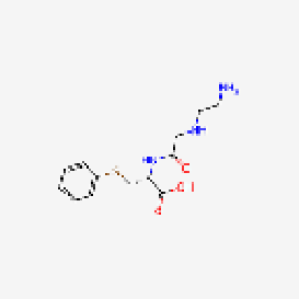 NCCNCC(=O)N[C@@H](CSc1ccccc1)C(=O)O